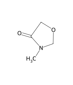 CN1COCC1=O